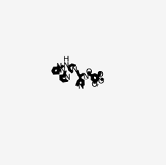 COc1cc(C(=O)N(C)CC(CCN2CCC(Nc3nc4ccccc4n3Cc3ccccn3)CC2)c2ccncc2)cc(OC)c1OC